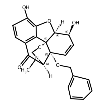 CN1CC[C@]23c4c5ccc(O)c4O[C@H]2[C@@H](O)C=C[C@@]3(OCc2ccccc2)[C@H]1C5=O